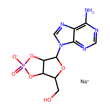 Nc1ncnc2c1ncn2C1OC(CO)C2OP(=O)([O-])OC21.[Na+]